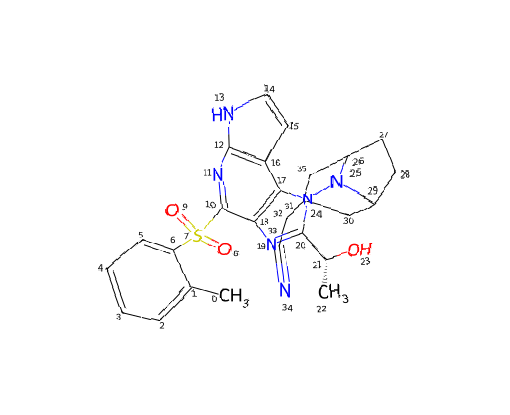 Cc1ccccc1S(=O)(=O)c1nc2[nH]ccc2c2c1nc([C@@H](C)O)n2N1C2CCC1CC(CC#N)C2